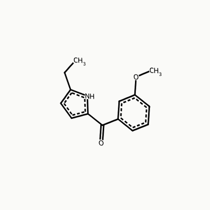 CCc1ccc(C(=O)c2cccc(OC)c2)[nH]1